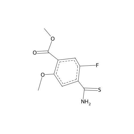 COC(=O)c1cc(F)c(C(N)=S)cc1OC